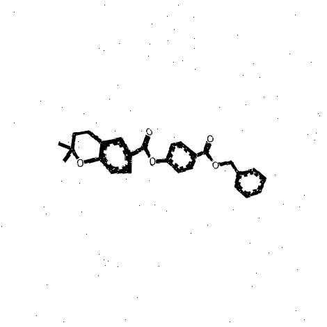 CC1(C)CCc2cc(C(=O)Oc3ccc(C(=O)OCc4ccccc4)cc3)ccc2O1